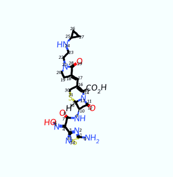 Nc1nc(/C(=N/O)C(=O)N[C@@H]2C(=O)N3C(C(=O)O)=C(/C=C4\CCN(CCNC5CC5)C4=O)CS[C@H]23)ns1